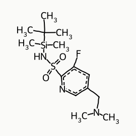 CN(C)Cc1cnc(S(=O)(=O)N[Si](C)(C)C(C)(C)C)c(F)c1